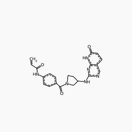 C=CC(=O)Nc1ccc(C(=O)N2CCC(Nc3ncc4ccc(=O)[nH]c4n3)C2)cc1